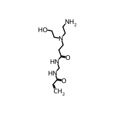 C=CC(=O)NCNC(=O)CCN(CCN)CCO